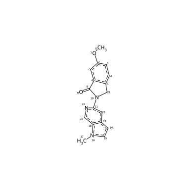 COc1ccc2c(c1)C(=O)N(c1cc3ccn(C)c3cn1)C2